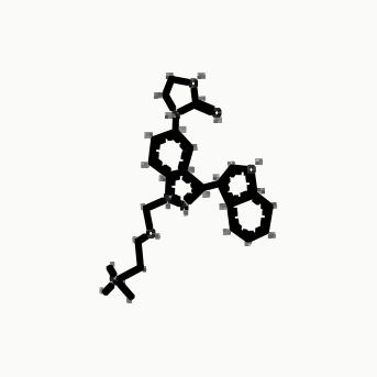 C[Si](C)(C)CCOCn1nc(-c2coc3ccccc23)c2cc(N3CCOC3=O)ccc21